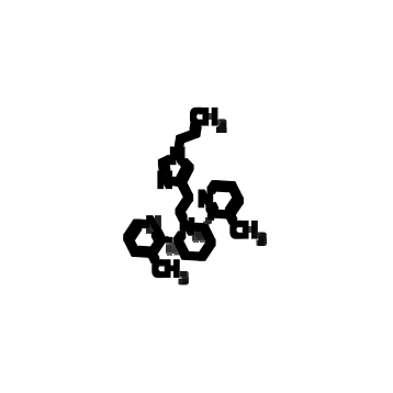 C=CCn1cnc(CCN2[C@@H](c3ncccc3C)CCC[C@H]2c2ncccc2C)c1